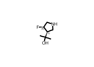 CC(C)(O)[C@@H]1CNC[C@@H]1F